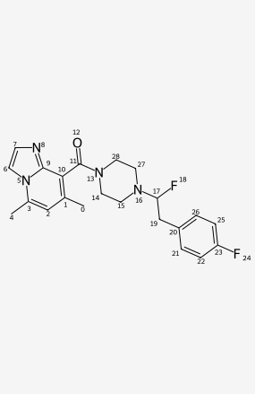 Cc1cc(C)n2ccnc2c1C(=O)N1CCN(C(F)Cc2ccc(F)cc2)CC1